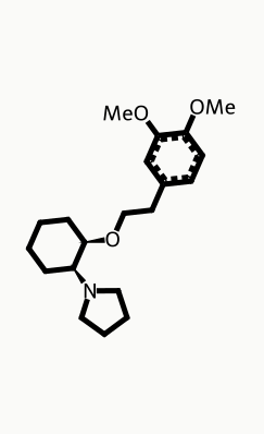 COc1ccc(CCO[C@@H]2CCCC[C@@H]2N2CCCC2)cc1OC